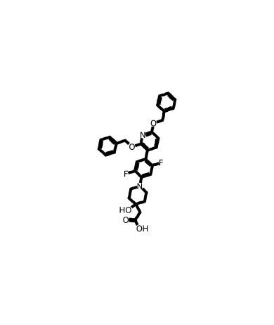 O=C(O)CC1(O)CCN(c2cc(F)c(-c3ccc(OCc4ccccc4)nc3OCc3ccccc3)cc2F)CC1